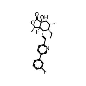 CC[C@H]1[C@H](/C=C/c2ccc(-c3cccc(F)c3)cn2)[C@@H]2[C@@H](C)OC(=O)[C@]2(O)C[C@@H]1C